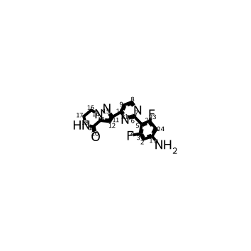 Nc1cc(F)c(-c2nccc(-c3cc4n(n3)CCNC4=O)n2)c(F)c1